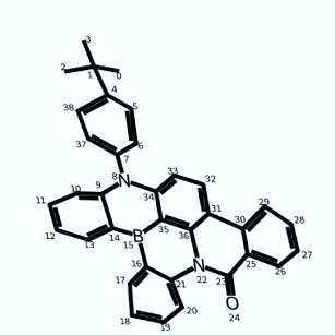 CC(C)(C)c1ccc(N2c3ccccc3B3c4ccccc4-n4c(=O)c5ccccc5c5ccc2c3c54)cc1